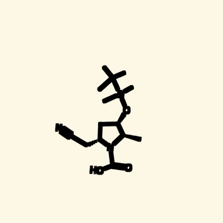 C[C@@H]1[C@H](O[Si](C)(C)C(C)(C)C)C[C@@H](CC#N)N1C(=O)O